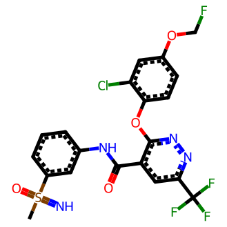 CS(=N)(=O)c1cccc(NC(=O)c2cc(C(F)(F)F)nnc2Oc2ccc(OCF)cc2Cl)c1